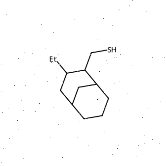 CCC1CC2CCCC(C2)C1CS